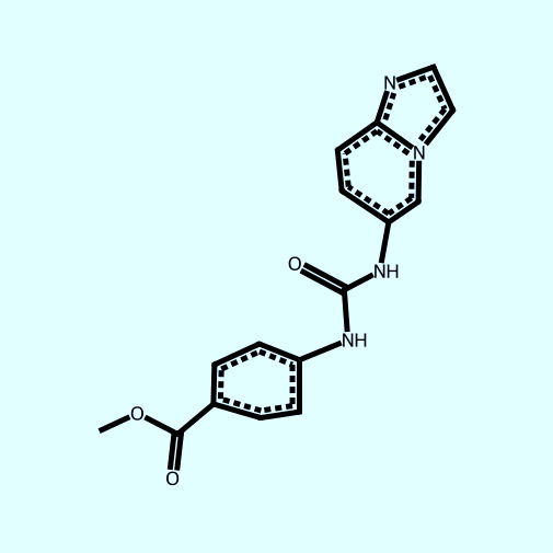 COC(=O)c1ccc(NC(=O)Nc2ccc3nccn3c2)cc1